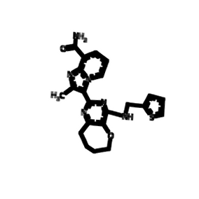 Cc1nc2c(C(N)=O)cccn2c1-c1nc2c(c(NCc3cccs3)n1)OCCCC2